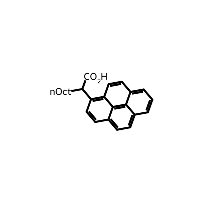 CCCCCCCCC(C(=O)O)c1ccc2ccc3cccc4ccc1c2c34